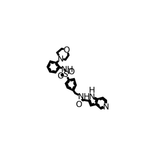 O=C(NCc1ccc(S(=O)(=O)Nc2ccccc2N2CCOCC2)cc1)c1cc2cnccc2[nH]1